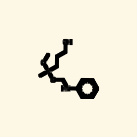 CO[Si](C)(CCCO)OCNc1ccccc1